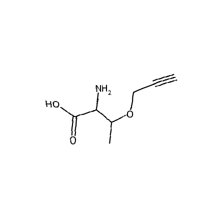 C#CCOC(C)C(N)C(=O)O